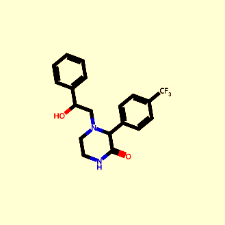 O=C1NCCN(CC(O)c2ccccc2)C1c1ccc(C(F)(F)F)cc1